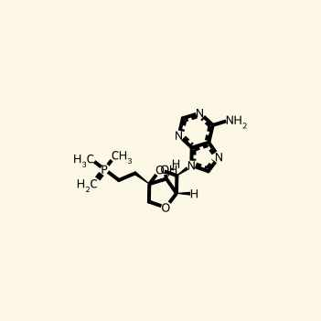 C=P(C)(C)CC[C@@]12CO[C@@H]([C@H](n3cnc4c(N)ncnc43)O1)[C@@H]2O